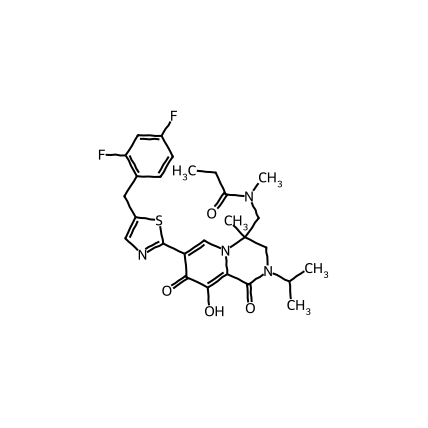 CCC(=O)N(C)CC1(C)CN(C(C)C)C(=O)c2c(O)c(=O)c(-c3ncc(Cc4ccc(F)cc4F)s3)cn21